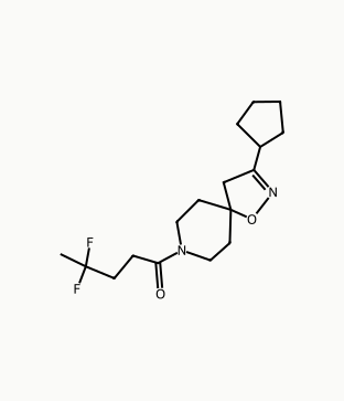 CC(F)(F)CCC(=O)N1CCC2(CC1)CC(C1CCCC1)=NO2